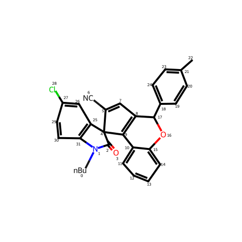 CCCCN1C(=O)C2(C(C#N)=CC3=C2c2ccccc2OC3c2ccc(C)cc2)c2cc(Cl)ccc21